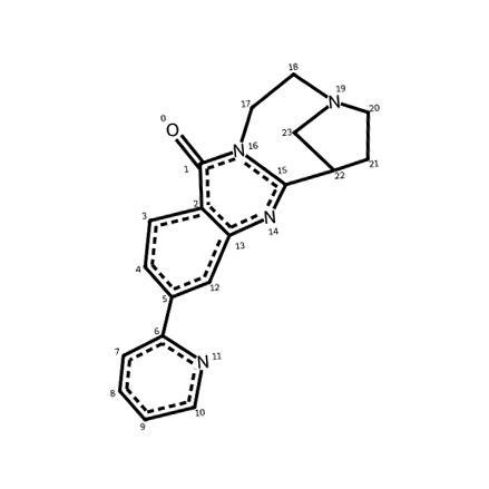 O=c1c2ccc(-c3ccccn3)cc2nc2n1CCN1CCC2C1